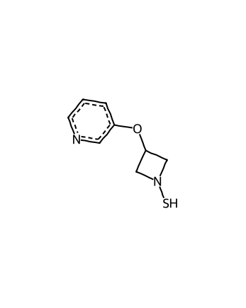 SN1CC(Oc2cccnc2)C1